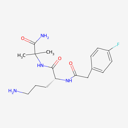 CC(C)(NC(=O)[C@@H](CCCN)NC(=O)Cc1ccc(F)cc1)C(N)=O